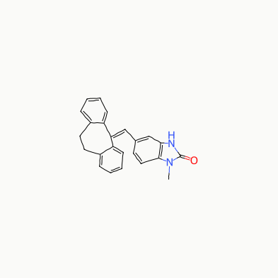 Cn1c(=O)[nH]c2cc(C=C3c4ccccc4CCc4ccccc43)ccc21